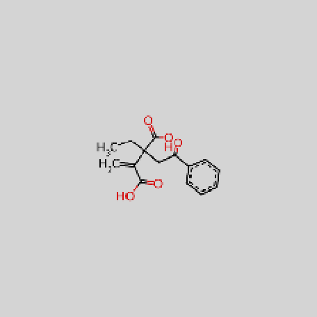 C=C(C(=O)O)C(CC)(CC(=O)c1ccccc1)C(=O)O